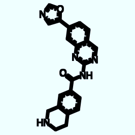 O=C(Nc1ncc2ccc(-c3cnco3)cc2n1)c1ccc2c(c1)CNCC2